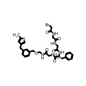 Cc1cc(Cc2cccc(COCNC(=O)CNC(=O)[C@H](Cc3ccccc3)NC(=O)CNC(=O)CNC(=O)CBr)c2)cs1